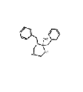 O=CC1(Cc2ccccc2)NCNCN1Cc1ccccc1